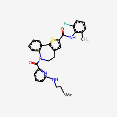 CSCCNc1cccc(C(=O)N2CCc3cc(C(=O)Nc4c(C)cccc4F)sc3-c3ccccc32)n1